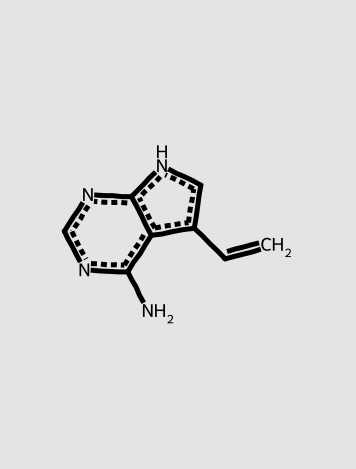 C=Cc1c[nH]c2ncnc(N)c12